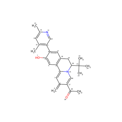 C=C1C=C2c3cc(O)c(-c4cnc(C)cc4C)cc3CC(C(C)(C)C)N2C=C1C(C)=O